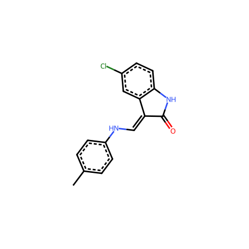 Cc1ccc(N/C=C2/C(=O)Nc3ccc(Cl)cc32)cc1